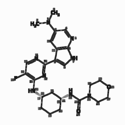 CN(C)c1cnc2[nH]cc(-c3ncc(F)c(N[C@H]4CCC[C@@H](NC(=O)N5CCOCC5)C4)n3)c2c1